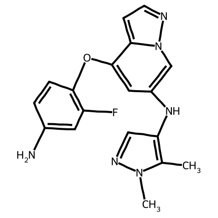 Cc1c(Nc2cc(Oc3ccc(N)cc3F)c3ccnn3c2)cnn1C